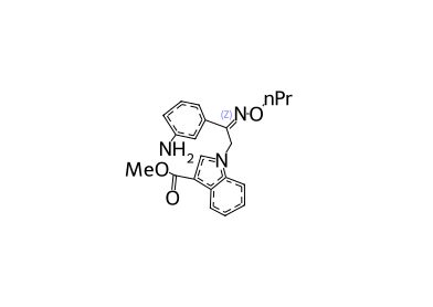 CCCO/N=C(\Cn1cc(C(=O)OC)c2ccccc21)c1cccc(N)c1